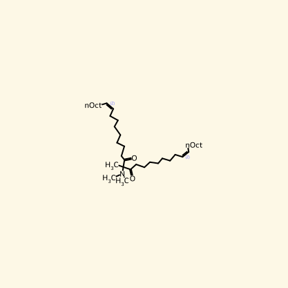 CCCCCCCC/C=C\CCCCCCCC(=O)C(C)(C(=O)CCCCCCC/C=C\CCCCCCCC)N(C)C